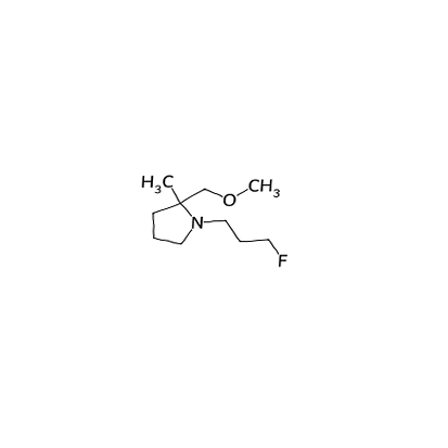 COCC1(C)CCCN1CCCF